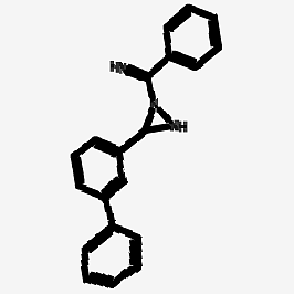 N=C(c1ccccc1)N1NC1c1cccc(-c2ccccc2)c1